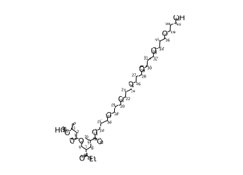 C=C(CC(=O)OCC(CC(C)C(=O)OCCCOCCCOCCCOCCCOCCCOCCCOCCCO)C(=O)CC)OO